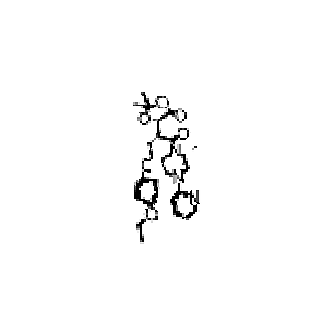 CCOc1ccc(CCC[C@@H](C(=O)N2CCN(c3ccccn3)C[C@H]2C)[C@@H]2OC(C)(C)OC2=O)cc1